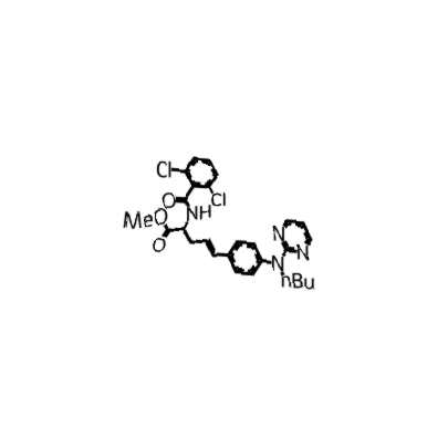 CCCCN(c1ccc(/C=C/CC(NC(=O)c2c(Cl)cccc2Cl)C(=O)OC)cc1)c1ncccn1